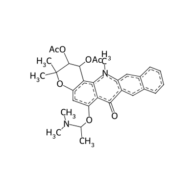 CC(=O)OC1c2c(cc(OC(C)N(C)C)c3c(=O)c4cc5ccccc5cc4n(C)c23)OC(C)(C)C1OC(C)=O